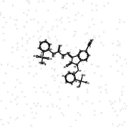 N#Cc1ccc2c(c1)C(=NNC(=S)Nc1ccccc1S(N)(=O)=O)C(=O)N2Cc1ccccc1C(F)(F)F